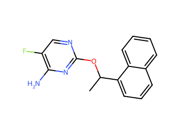 CC(Oc1ncc(F)c(N)n1)c1cccc2ccccc12